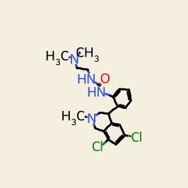 CN(C)CCNC(=O)Nc1ccccc1C1CN(C)Cc2c(Cl)cc(Cl)cc21